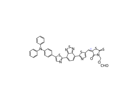 O=COCN1C(=O)/C(=C\c2cnc(-c3ccc(-c4ncc(-c5ccc(N(c6ccccc6)c6ccccc6)cc5)s4)c4nsnc34)s2)SC1=S